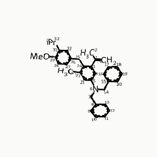 C=C(C)c1cc(N(Cc2ccccc2)Cc2ccccc2)cc(C)c1Cc1ccc(OC)c(C(C)C)c1